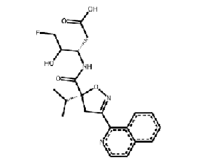 CC(C)[C@@]1(C(=O)N[C@@H](CC(=O)O)C(O)CF)CC(c2nccc3ccccc23)=NO1